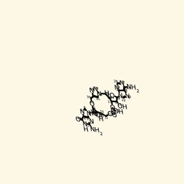 Nc1nc2c(ncn2[C@@H]2O[C@@H]3COP(=O)(O)OC4C(O)[C@H](n5cnc6c(N)ncnc65)O[C@@H]4Cn4cc(nn4)COC2C3O)c(=O)[nH]1